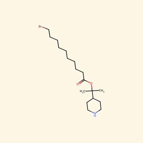 CC(C)(OC(=O)CCCCCCCCCBr)C1CCNCC1